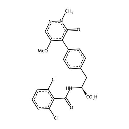 COc1cnn(C)c(=O)c1-c1ccc(C[C@H](NC(=O)c2c(Cl)cccc2Cl)C(=O)O)cc1